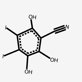 N#Cc1c(O)c(O)c(I)c(I)c1O